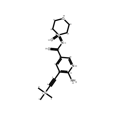 C[Si](C)(C)C#Cc1cc(C(=O)N=S2(=O)CCOCC2)cnc1N